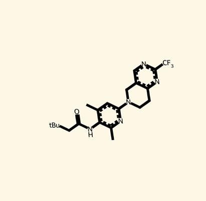 Cc1cc(N2CCc3nc(C(F)(F)F)ncc3C2)nc(C)c1NC(=O)CC(C)(C)C